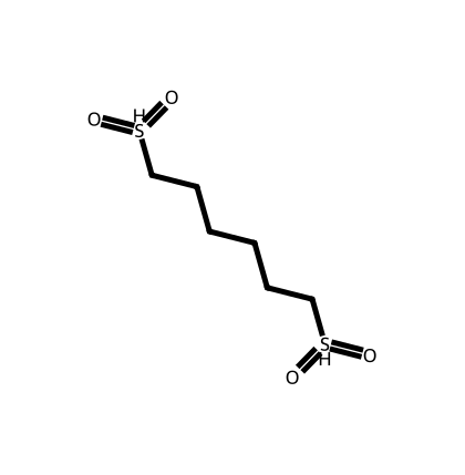 O=[SH](=O)CCCCCC[SH](=O)=O